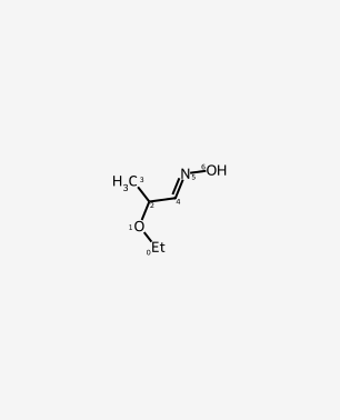 CCOC(C)C=NO